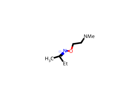 CC/C(C)=N\OCCNC